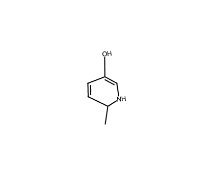 C[C]1C=CC(O)=CN1